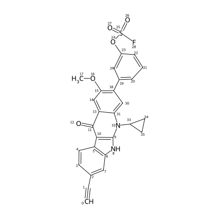 C#Cc1ccc2c(c1)[nH]c1c2c(=O)c2cc(OC)c(-c3cccc(OS(=O)(=O)F)c3)cc2n1C1CC1